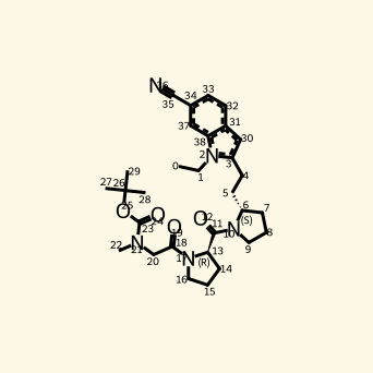 CCn1c(CC[C@@H]2CCCN2C(=O)[C@H]2CCCN2C(=O)CN(C)C(=O)OC(C)(C)C)cc2ccc(C#N)cc21